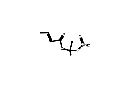 CC=CC(=O)OC(C)(C)O[SH](=O)=O